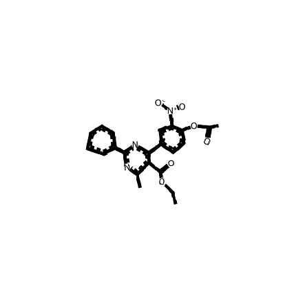 CCOC(=O)c1c(C)nc(-c2ccccc2)nc1-c1ccc(OC(C)=O)c([N+](=O)[O-])c1